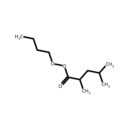 CCCCOOC(=O)C(C)CC(C)C